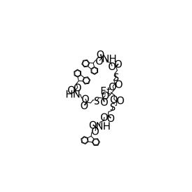 CCC(COC(=O)CSCCC(=O)OCCNC(=O)OCC1c2ccccc2-c2ccccc21)(COC(=O)CSCCC(=O)OCCNC(=O)OCC1c2ccccc2-c2ccccc21)COC(=O)CSCCC(=O)OCCNC(=O)OCC1c2ccccc2-c2ccccc21